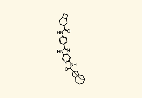 O=C(Nc1ccc(-c2nc3cc(NC(=O)C45CC6CCCC(C4)C(C6)C5)ncc3[nH]2)cc1)C1CCC2CCC2C1